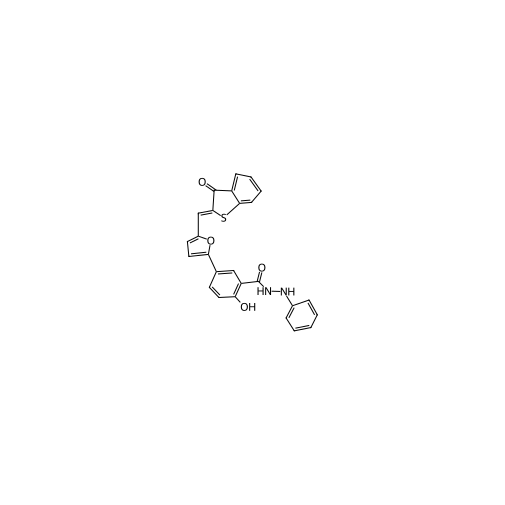 O=C(NNc1ccccc1)c1cc(-c2ccc(/C=C3\Sc4ccccc4C3=O)o2)ccc1O